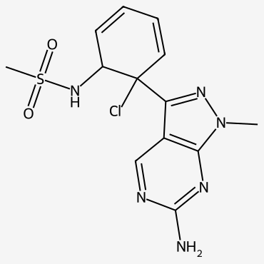 Cn1nc(C2(Cl)C=CC=CC2NS(C)(=O)=O)c2cnc(N)nc21